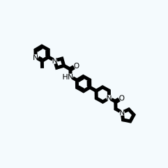 Cc1ncccc1N1CC(C(=O)Nc2ccc(C3CCN(C(=O)CN4CCCC4)CC3)cc2)C1